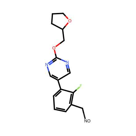 O=NCc1cccc(-c2cnc(OCC3CCCO3)nc2)c1F